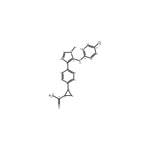 Cn1cnc(-c2ccc(C3CC3C(N)=O)cc2)c1Sc1ccc(Cl)cn1